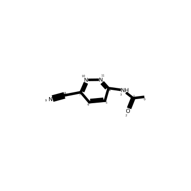 CC(=O)Nc1ccc(C#N)nn1